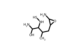 CC(CC1OC1N)C(NS)C(N)O